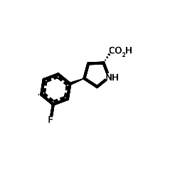 O=C(O)[C@H]1C[C@H](c2cc[c]c(F)c2)CN1